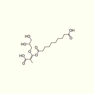 CC(C(=O)O)=C(OCC(O)CO)OC(=O)CCCCCCCCC(=O)O